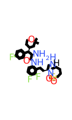 CC1(C)CC([C@H](c2ccc(F)cc2)[C@H](N)C(=O)Nc2ccc(F)c(F)c2CC[C@H]2CN[C@@H]3CCCS(=O)(=O)N2C3)CCO1